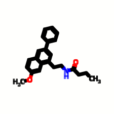 CCCC(=O)NCCc1cc(-c2ccccc2)cc2ccc(OC)cc12